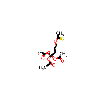 CC(=O)O[Si](CCCOC(C)=S)(OC(C)=O)OC(C)=O